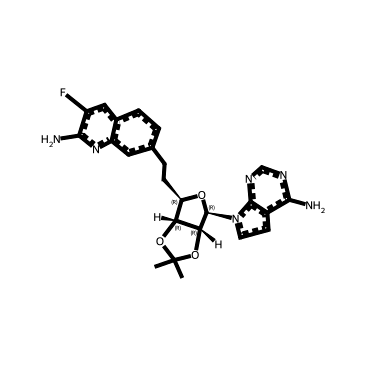 CC1(C)O[C@@H]2[C@H](O1)[C@@H](CCc1ccc3cc(F)c(N)nc3c1)O[C@H]2n1ccc2c(N)ncnc21